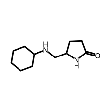 O=C1CCC(CNC2CCCCC2)N1